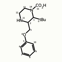 CC(C)(C)C1C(COc2ccccc2)NCCN1C(=O)O